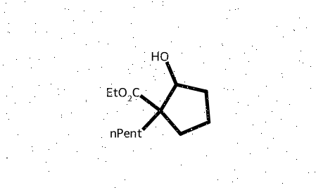 CCCCCC1(C(=O)OCC)CCCC1O